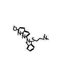 COc1ccc2ccc(N3Cc4ccccc4C3SCCCN(C)C)nc2n1